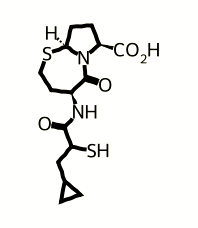 O=C(N[C@H]1CCS[C@H]2CC[C@@H](C(=O)O)N2C1=O)C(S)CC1CC1